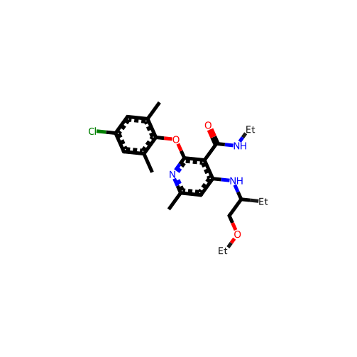 CCNC(=O)c1c(NC(CC)COCC)cc(C)nc1Oc1c(C)cc(Cl)cc1C